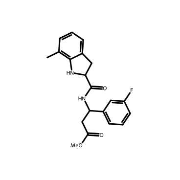 COC(=O)CC(NC(=O)C1Cc2cccc(C)c2N1)c1cccc(F)c1